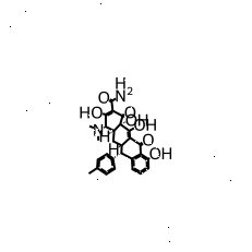 Cc1ccc([C@H]2c3cccc(O)c3C(=O)C3=C(O)[C@]4(O)C(=O)C(C(N)=O)=C(O)[C@@H](N(C)C)[C@@H]4C[C@@H]32)cc1